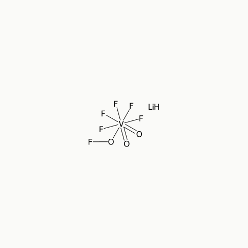 [LiH].[O]=[V](=[O])([F])([F])([F])([F])([F])[O]F